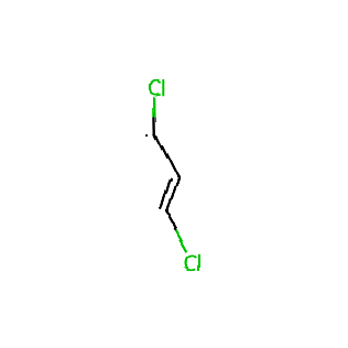 Cl[CH]C=CCl